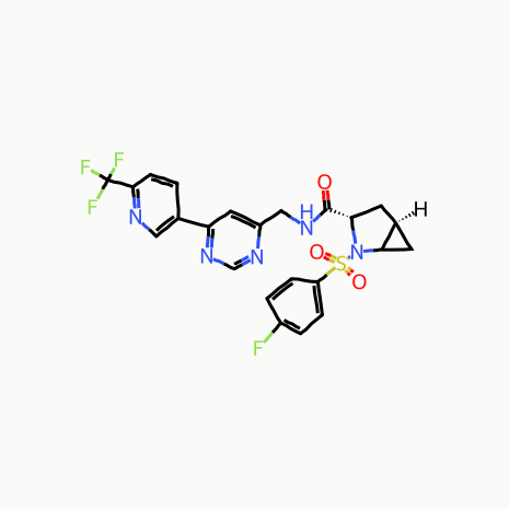 O=C(NCc1cc(-c2ccc(C(F)(F)F)nc2)ncn1)[C@@H]1C[C@H]2CC2N1S(=O)(=O)c1ccc(F)cc1